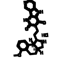 COc1cccc2c1CC[C@H]1CNC(CCn3c(=O)[nH]c4c([nH]c5ccncc54)c3=O)[C@@H]21.Cl